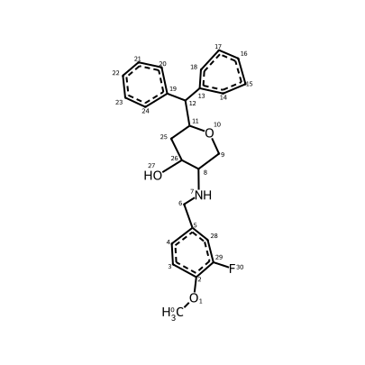 COc1ccc(CNC2COC(C(c3ccccc3)c3ccccc3)CC2O)cc1F